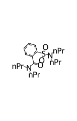 CCCN(CCC)C(=O)c1ccccc1S(=O)(=O)N(CCC)CCC